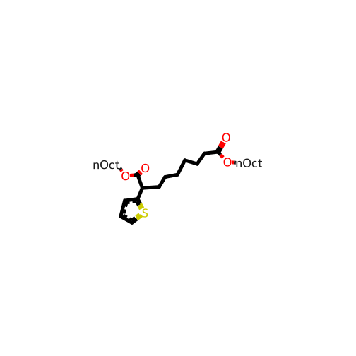 CCCCCCCCOC(=O)CCCCCCC(C(=O)OCCCCCCCC)c1cccs1